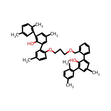 Cc1ccc(C)c(-c2cc(C)cc(-c3ccccc3COCCCOc3ccc(C)cc3-c3cc(C)cc(-c4cc(C)ccc4C)c3O)c2O)c1